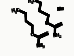 CCCCOC(N)=S.CCCCOC(N)=S.[Mo]